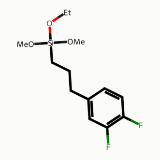 CCO[Si](CCCc1ccc(F)c(F)c1)(OC)OC